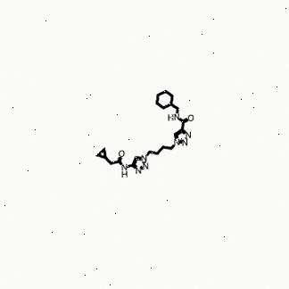 O=C(CC1CC1)Nc1cn(CCCCn2cc(C(=O)NCC3CCCCC3)nn2)nn1